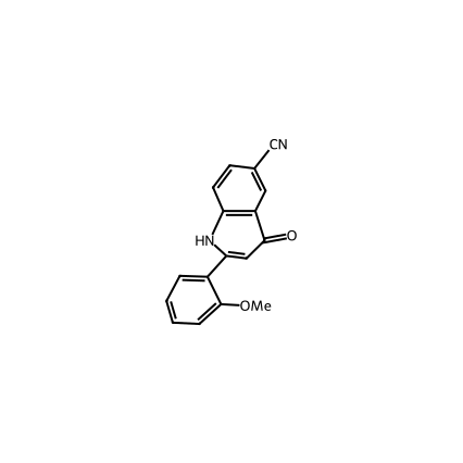 COc1ccccc1-c1cc(=O)c2cc(C#N)ccc2[nH]1